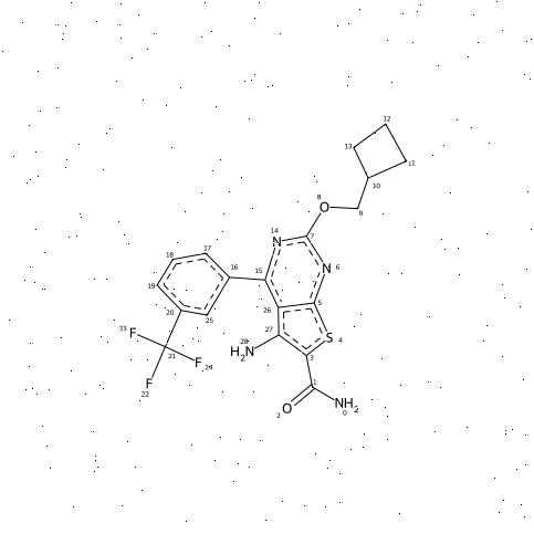 NC(=O)c1sc2nc(OCC3CCC3)nc(-c3cccc(C(F)(F)F)c3)c2c1N